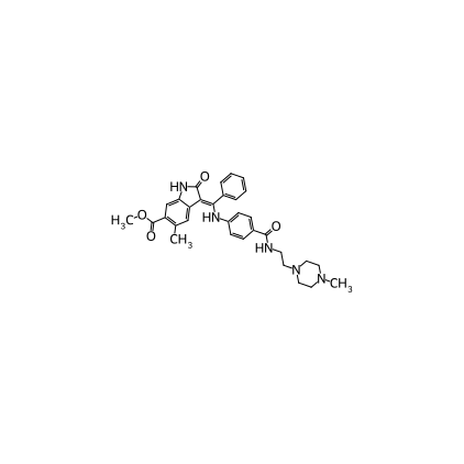 COC(=O)c1cc2c(cc1C)/C(=C(\Nc1ccc(C(=O)NCCN3CCN(C)CC3)cc1)c1ccccc1)C(=O)N2